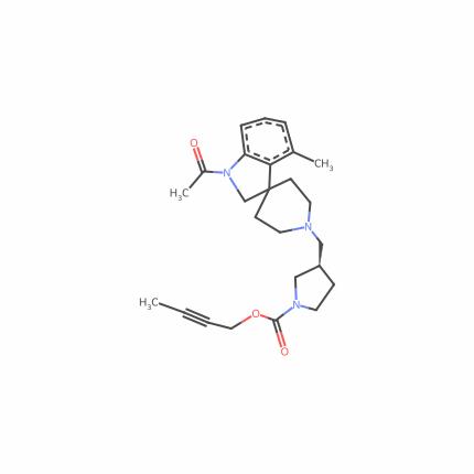 CC#CCOC(=O)N1CC[C@H](CN2CCC3(CC2)CN(C(C)=O)c2cccc(C)c23)C1